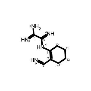 N=CC1=C(NC(=N)C(=N)N)CCCC1